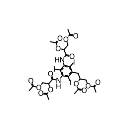 CC(=O)OCC(Cc1c(I)c(NC(=O)C(COC(C)=O)OC(C)=O)c(I)c(NC(=O)C(COC(C)=O)OC(C)=O)c1I)OC(C)=O